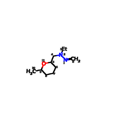 C=NN(CC)CC1CCCC(C)O1